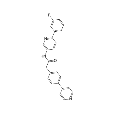 O=C(Cc1ccc(-c2ccncc2)cc1)Nc1ccc(-c2cccc(F)c2)nc1